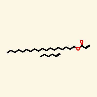 C=CC(=O)OCCCCCCCCCCCCCCCCCC.C=CCCCC